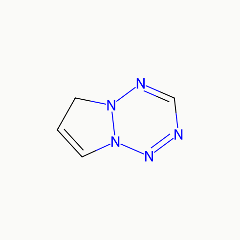 C1=CN2N=NC=NN2C1